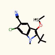 Cn1c(C(C)(C)C)c(O[SiH](C)C)c2cc(C#N)c(Cl)cc21